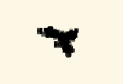 Cc1cc(F)ccc1[C@H](CC(=NO)c1ccc(=O)n(C)c1)c1ccc(-c2ccc(S(N)(=O)=O)cc2)cc1